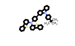 CC(C)(C)c1ccc(-n2c3ccccc3c3ccc(-c4ccc(N(c5cccc6c5sc5ccccc56)c5cccc6c5sc5ccccc56)cc4)cc32)cc1